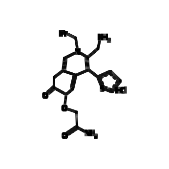 CC(C)CN1C=C2CC(=O)C(OCC(N)=O)C=C2C(c2cccs2)=C1CN.Cl